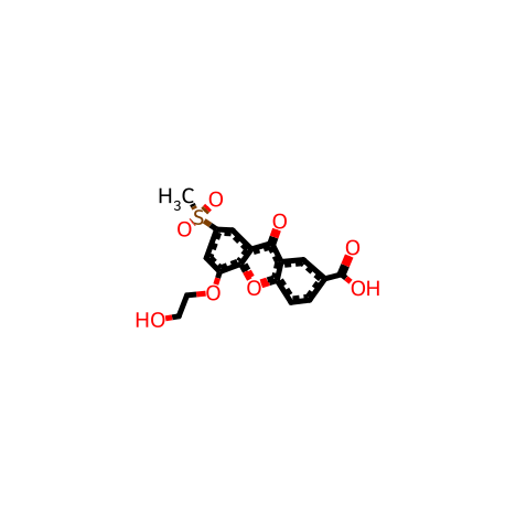 CS(=O)(=O)c1cc(OCCO)c2oc3ccc(C(=O)O)cc3c(=O)c2c1